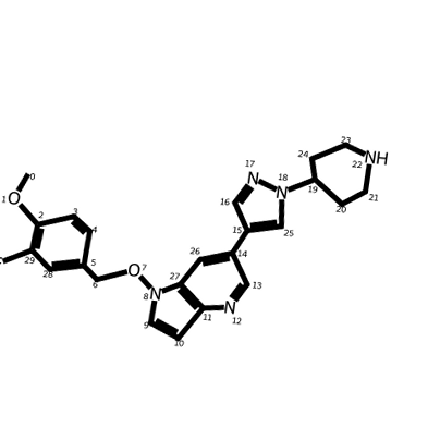 COc1ccc(COn2ccc3ncc(-c4cnn(C5CCNCC5)c4)cc32)cc1F